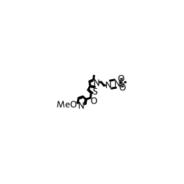 COc1ccc(C(=O)c2cc3cc(C)n(CCN4CCN(S(C)(=O)=O)CC4)c3s2)cn1